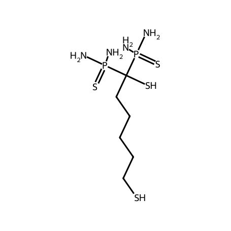 NP(N)(=S)C(S)(CCCCCS)P(N)(N)=S